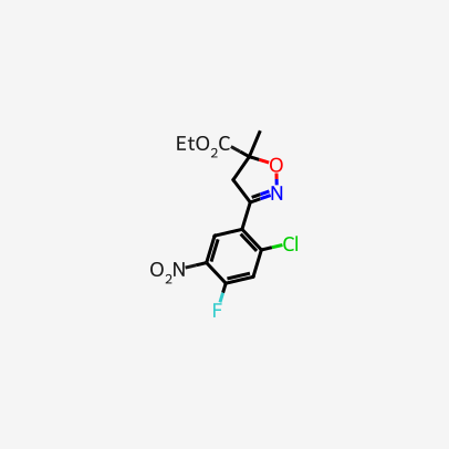 CCOC(=O)C1(C)CC(c2cc([N+](=O)[O-])c(F)cc2Cl)=NO1